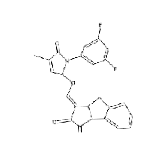 CC1=CC(OC=C2C(=O)NC3c4ccccc4CC23)N(c2cc(F)cc(F)c2)C1=O